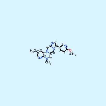 COc1ccc(-c2cnc3cnc(CN(C)c4ccc(C)cn4)cn23)cn1